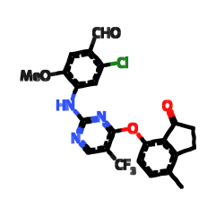 COc1cc(C=O)c(Cl)cc1Nc1ncc(C(F)(F)F)c(Oc2ccc(C)c3c2C(=O)CC3)n1